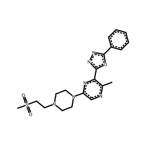 Cc1ncc(N2CCN(CCS(C)(=O)=O)CC2)nc1-c1nnc(-c2ccccc2)o1